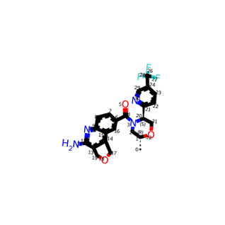 C[C@@H]1CN(C(=O)c2ccc3nc(N)c4c(c3c2)COC4)[C@@H](c2ccc(C(F)(F)F)cn2)CO1